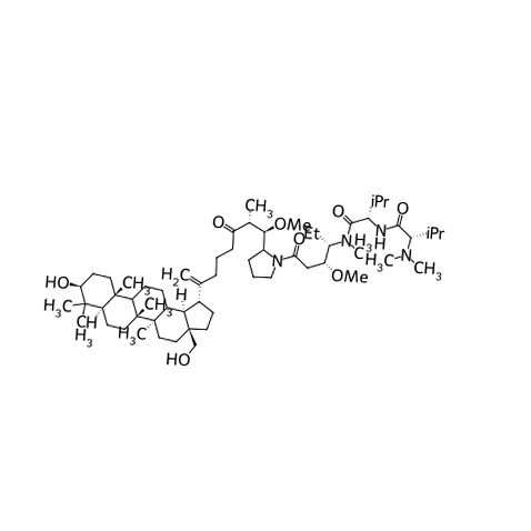 C=C(CCCC(=O)[C@H](C)[C@@H](OC)C1CCCN1C(=O)C[C@@H](OC)[C@H](CC)N(C)C(=O)[C@@H](NC(=O)[C@H](C(C)C)N(C)C)C(C)C)[C@@H]1CC[C@]2(CO)CC[C@]3(C)C(CCC4[C@@]5(C)CC[C@H](O)C(C)(C)[C@@H]5CC[C@]43C)[C@@H]12